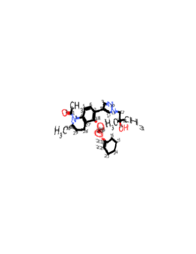 CC(=O)N1c2ccc(-c3cnn(CC(C)(C)O)c3)c(OOC3CCCCC3)c2CC[C@@H]1C